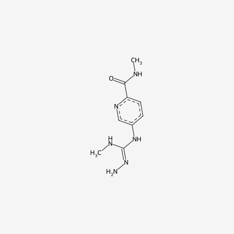 CNC(=O)c1ccc(N/C(=N/N)NC)cn1